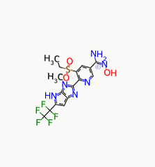 CCS(=O)(=O)c1cc(/C(N)=N\O)cnc1-c1nc2cc(C(F)(F)C(F)(F)F)[nH]c2n1C